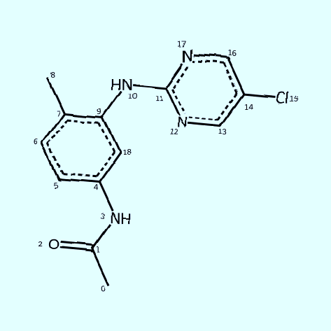 CC(=O)Nc1ccc(C)c(Nc2ncc(Cl)cn2)c1